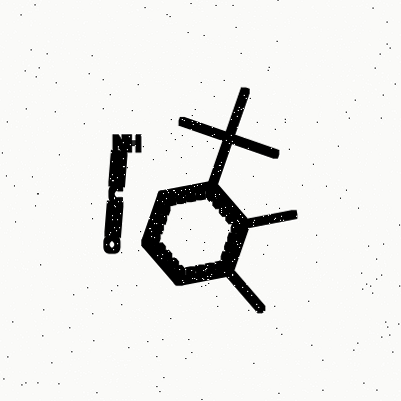 Cc1cccc(C(C)(C)C)c1C.N=C=O